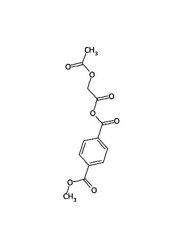 COC(=O)c1ccc(C(=O)OC(=O)COC(C)=O)cc1